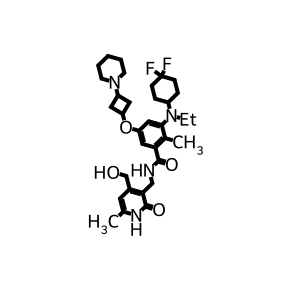 CCN(c1cc(OC2CC(N3CCCCC3)C2)cc(C(=O)NCc2c(CO)cc(C)[nH]c2=O)c1C)C1CCC(F)(F)CC1